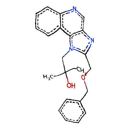 CC(C)(O)Cn1c(COCc2ccccc2)nc2cnc3ccccc3c21